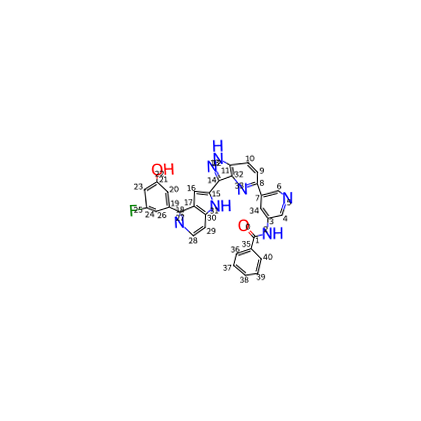 O=C(Nc1cncc(-c2ccc3[nH]nc(-c4cc5c(-c6cc(O)cc(F)c6)nccc5[nH]4)c3n2)c1)c1ccccc1